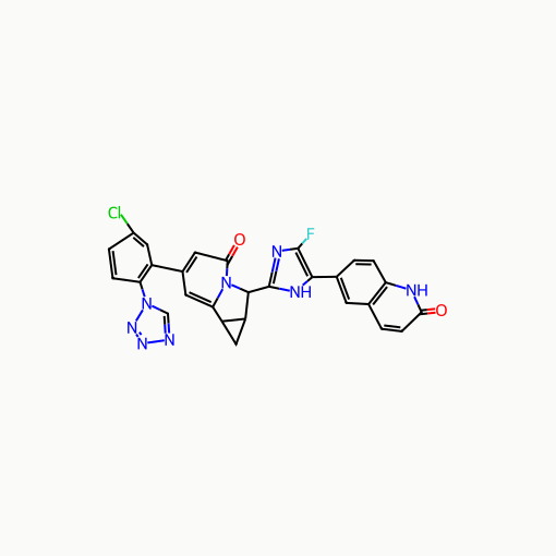 O=c1ccc2cc(-c3[nH]c(C4C5CC5c5cc(-c6cc(Cl)ccc6-n6cnnn6)cc(=O)n54)nc3F)ccc2[nH]1